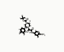 Cc1cc(NC(=O)C(=O)N2C[C@@H](C)N(C(=O)OC(C)(C)C)C[C@@H]2c2ccc(F)c(F)c2)cnc1N